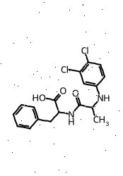 CC(Nc1ccc(Cl)c(Cl)c1)C(=O)NC(Cc1ccccc1)C(=O)O